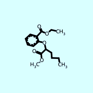 CCCCC(Oc1ccccc1C(=O)OCC)C(=O)OC